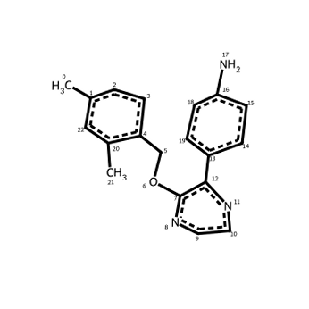 Cc1ccc(COc2nccnc2-c2ccc(N)cc2)c(C)c1